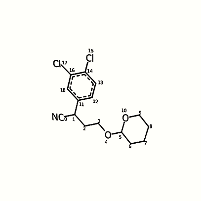 N#CC(CCOC1CCCCO1)c1ccc(Cl)c(Cl)c1